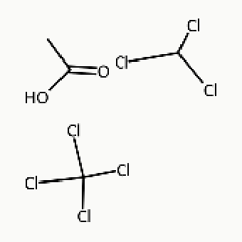 CC(=O)O.ClC(Cl)(Cl)Cl.ClC(Cl)Cl